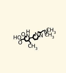 CCc1cc(C(=O)O)c(=O)[nH]c1-c1ccc2nc(CN(C)C)cn2c1